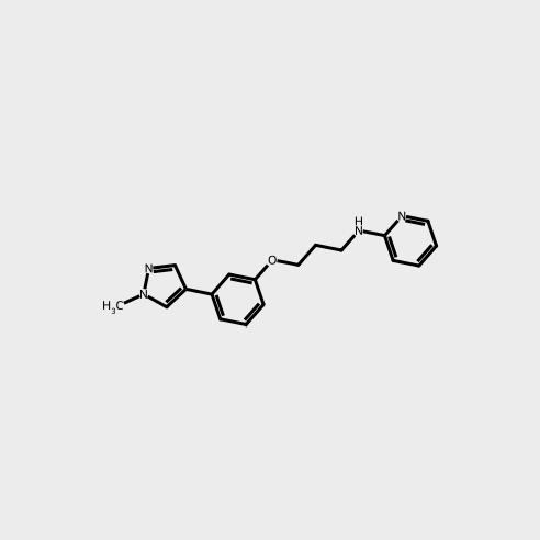 Cn1cc(-c2c[c]cc(OCCCNc3ccccn3)c2)cn1